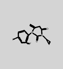 C=C1CC(=O)N(C2CC2)C(=O)N1c1ccc(I)cc1F